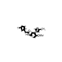 COc1ccc(NC(=O)Cc2cccc(Cl)c2)cc1-n1cnc(C)c1